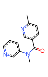 Cc1ccc(C(=O)N(C)c2cccnc2)cn1